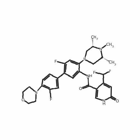 C[C@@H]1CN(c2cc(F)c(-c3ccc(N4CCOCC4)c(F)c3)cc2NC(=O)c2c[nH]c(=O)cc2C(F)F)C[C@H](C)N1C